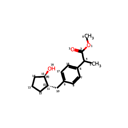 COC(=O)C(C)c1ccc(C[C@@H]2CCC[C@H]2O)cc1